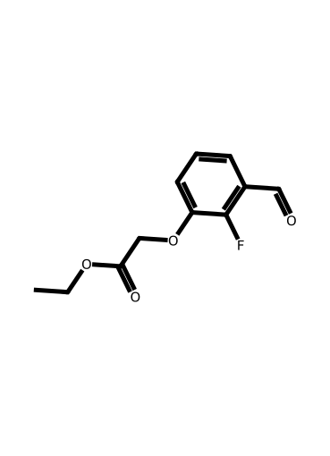 CCOC(=O)COc1cccc(C=O)c1F